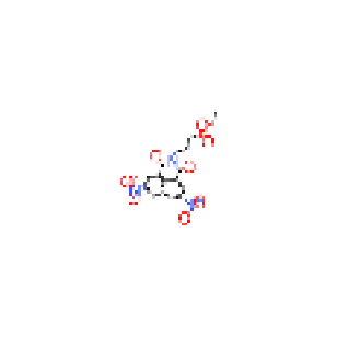 CCOC(=O)CCCN1C(=O)c2cc([N+](=O)[O-])cc3cc([N+](=O)[O-])cc(c23)C1=O